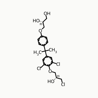 CC(C)(c1ccc(OC[C@H](O)CO)cc1)c1cc(Cl)c(OC[C@@H](O)CCl)c(Cl)c1